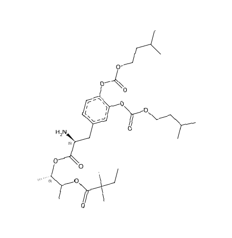 CCC(C)(C)C(=O)OC(C)[C@H](C)OC(=O)[C@@H](N)Cc1ccc(OC(=O)OCCC(C)C)c(OC(=O)OCCC(C)C)c1